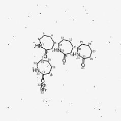 O=C1CCCCCN1.O=C1CCCCCN1.O=C1CCCCCN1.O=C1CCCCCN1.[Rh].[Rh]